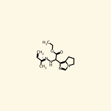 C=C/C(C)=N/NC(C(=O)OCC)c1ncn2c1CCC2